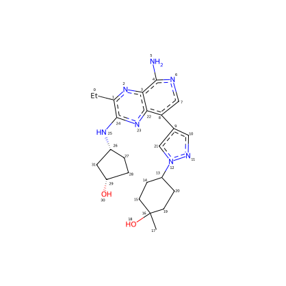 CCc1nc2c(N)ncc(-c3cnn(C4CCC(C)(O)CC4)c3)c2nc1N[C@@H]1CC[C@H](O)C1